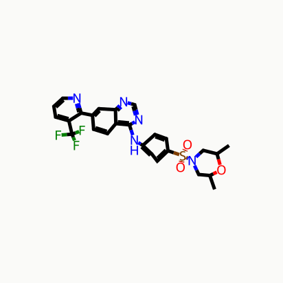 CC1CN(S(=O)(=O)c2ccc(Nc3ncnc4cc(-c5ncccc5C(F)(F)F)ccc34)cc2)CC(C)O1